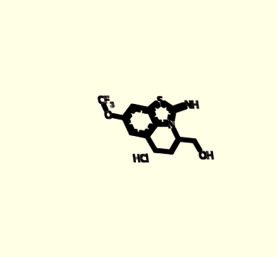 Cl.N=c1sc2cc(OC(F)(F)F)cc3c2n1C(CO)CC3